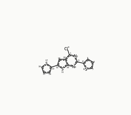 Clc1nc(-c2cccs2)nc2sc(-c3cccs3)cc12